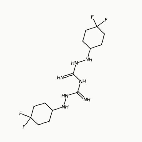 N=C(NNC1CCC(F)(F)CC1)NC(=N)NNC1CCC(F)(F)CC1